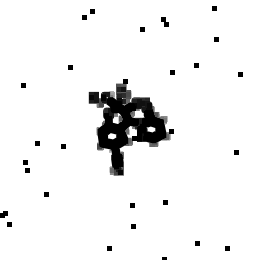 CC1(C)Oc2ccc(C#N)cc2C(n2ncccc2=O)C1O